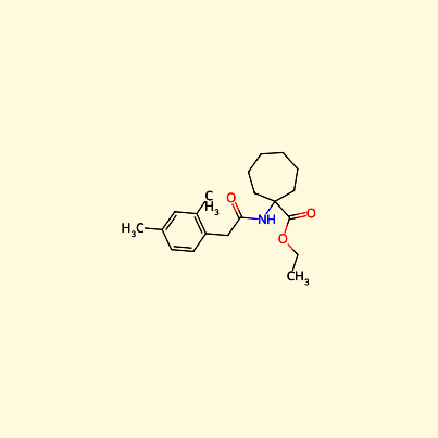 CCOC(=O)C1(NC(=O)Cc2ccc(C)cc2C)CCCCCC1